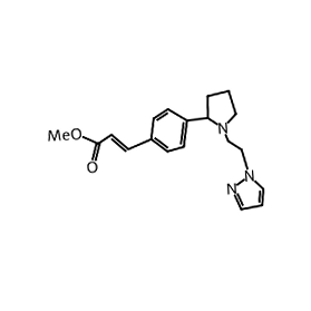 COC(=O)C=Cc1ccc(C2CCCN2CCn2cccn2)cc1